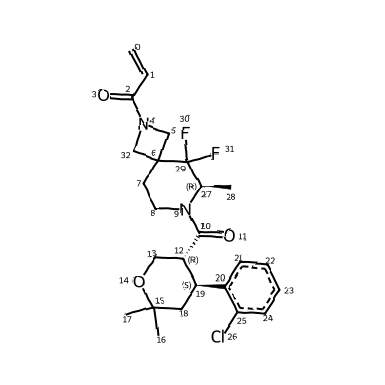 C=CC(=O)N1CC2(CCN(C(=O)[C@H]3COC(C)(C)C[C@@H]3c3ccccc3Cl)[C@H](C)C2(F)F)C1